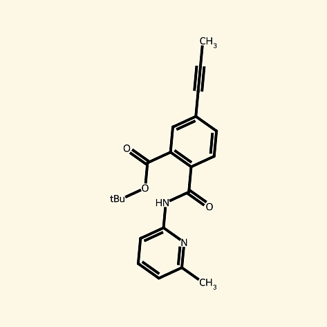 CC#Cc1ccc(C(=O)Nc2cccc(C)n2)c(C(=O)OC(C)(C)C)c1